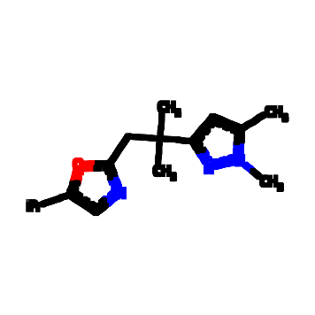 Cc1cc(C(C)(C)Cc2ncc(C(C)C)o2)nn1C